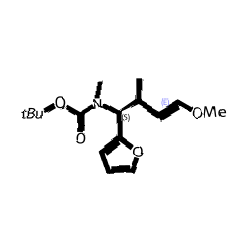 CO/C=C/C(C)[C@@H](c1ccco1)N(C)C(=O)OC(C)(C)C